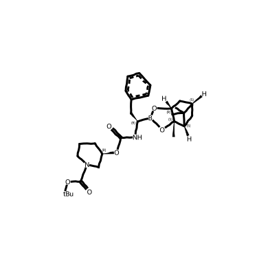 CC(C)(C)OC(=O)N1CCC[C@@H](OC(=O)N[C@@H](Cc2ccccc2)B2O[C@@H]3C[C@@H]4C[C@@H](C4(C)C)[C@]3(C)O2)C1